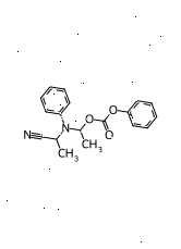 CC(C#N)N(c1ccccc1)C(C)OC(=O)Oc1ccccc1